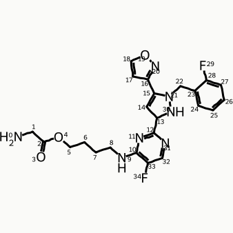 NCC(=O)OCCCCNc1nc(C2C=C(c3ccon3)N(Cc3ccccc3F)N2)ncc1F